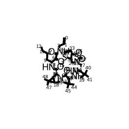 C=CCNC(=O)C(=O)C(CCCC)NC(=O)[C@@H]1C2C(CN1C(=O)[C@@H](NN[C@H](CN1CC3SC=CC3S1(=O)=O)C(C)(C)C)C(C)(C)C)C2(C)C